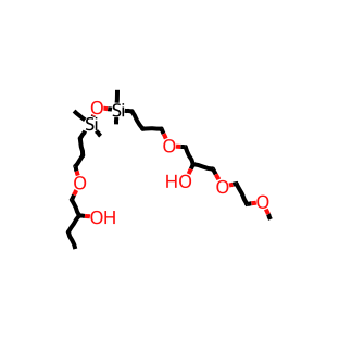 CCC(O)COCCC[Si](C)(C)O[Si](C)(C)CCCOCC(O)COCCOC